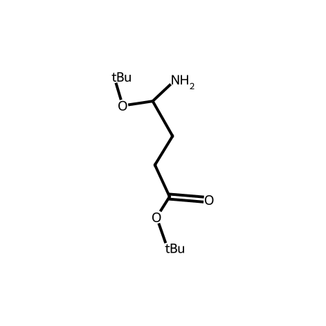 CC(C)(C)OC(=O)CCC(N)OC(C)(C)C